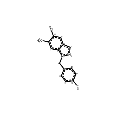 Cc1cc2c(cnn2Cc2ccc(Cl)cc2)cc1Cl